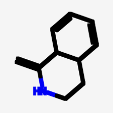 C=C1NCCC2C=CC=CC12